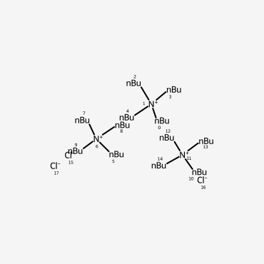 CCCC[N+](CCCC)(CCCC)CCCC.CCCC[N+](CCCC)(CCCC)CCCC.CCCC[N+](CCCC)(CCCC)CCCC.[Cl-].[Cl-].[Cl-]